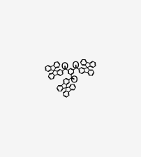 O=C(c1cc(C(=O)c2ccc3c(c2)C2(c4ccccc4-c4ccccc42)c2ccccc2-3)cc(C(=O)c2ccc3c(c2)C2(c4ccccc4-c4ccccc42)c2ccccc2-3)c1)c1ccc2c(c1)C1(c3ccccc3-c3ccccc31)c1ccccc1-2